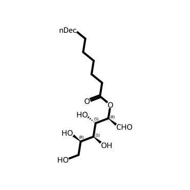 CCCCCCCCCCCCCCCC(=O)O[C@@H](C=O)[C@@H](O)[C@@H](O)[C@H](O)CO